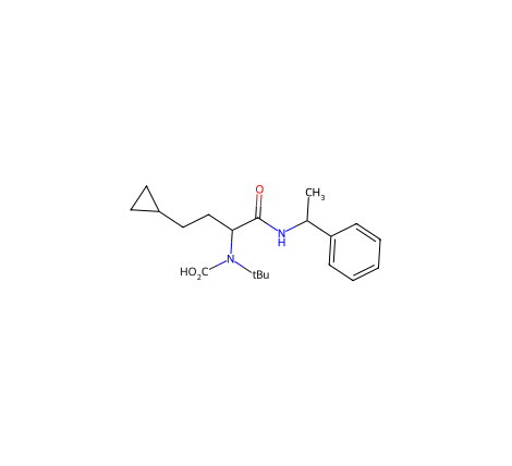 CC(NC(=O)C(CCC1CC1)N(C(=O)O)C(C)(C)C)c1ccccc1